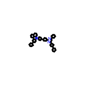 c1ccc(-c2ccc(-c3cc(-c4ccccc4)nc(-c4ccc(-c5ccc(N(c6ccc(-c7ccccc7)cc6)c6cccc7ccccc67)cc5)cc4)n3)cc2)cc1